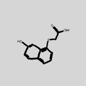 COC(=O)COc1cccc2ccc(O)cc12